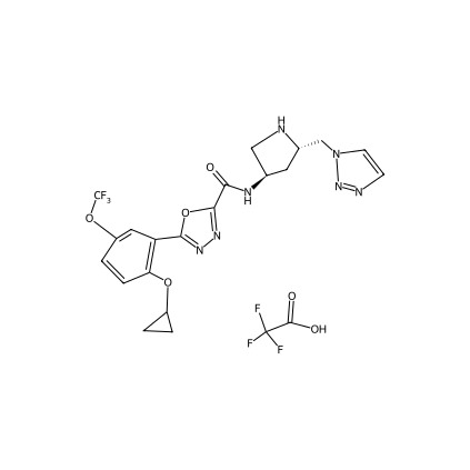 O=C(N[C@H]1CN[C@H](Cn2ccnn2)C1)c1nnc(-c2cc(OC(F)(F)F)ccc2OC2CC2)o1.O=C(O)C(F)(F)F